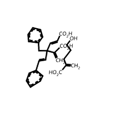 C=C(C(=O)O)C(C=CC(=O)O)(C=Cc1ccccc1)Cc1ccccc1.C=C(CCCO)C(=O)O